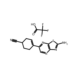 N#CC1CC=C(c2cnc3nc(N)sc3n2)CC1.O=C(O)C(F)(F)F